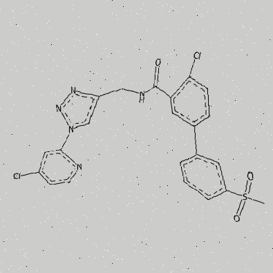 CS(=O)(=O)c1cccc(-c2ccc(Cl)c(C(=O)NCc3cn(-c4cc(Cl)ccn4)nn3)c2)c1